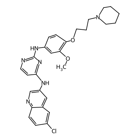 COc1cc(Nc2nccc(Nc3cnc4ccc(Cl)cc4c3)n2)ccc1OCCCN1CCCCC1